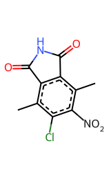 Cc1c(Cl)c([N+](=O)[O-])c(C)c2c1C(=O)NC2=O